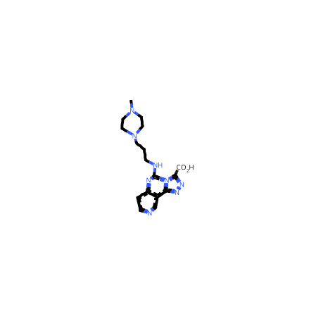 CN1CCN(CCCNc2nc3ccncc3c3nnc(C(=O)O)n23)CC1